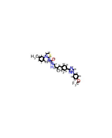 CCCc1ccc(C)cc1N1CCS/C1=N\C(=O)NCCC(C)Cc1ccc(-c2ncn(-c3ccc(OC(F)(F)F)cc3)n2)cc1